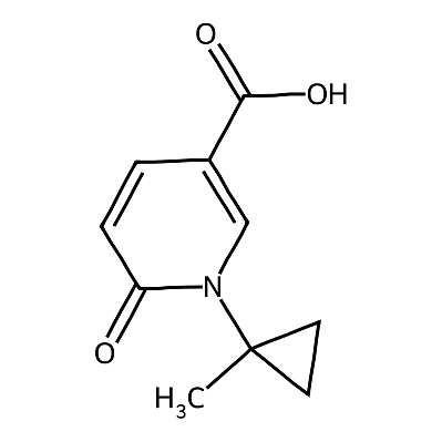 CC1(n2cc(C(=O)O)ccc2=O)CC1